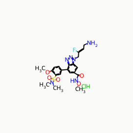 CONC(=O)c1cc(-c2ccc(OC)c(S(=O)(=O)N(C)C)c2)c2nnn(C/C(F)=C/CN)c2c1.Cl